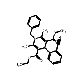 CCOC(=O)C1=C(C)N(Cc2ccccc2)C(C)=C(C(=O)OC)C1c1ccccc1C#N